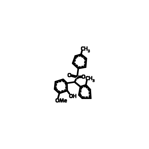 COc1cccc(C(c2ccccc2C)S(=O)(=O)c2ccc(C)cc2)c1O